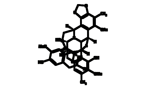 CCC1Cc2cc(O)c(OC)cc2[C@@]2(CS[C@@H]3c4c(OC(C)=O)c(C)c5c(c4[C@H](COC2=O)N2C3[C@@H]3c4c(cc(C)c(OC)c4O)C[C@@H]([C@@H]2O)N3C)OCO5)N1